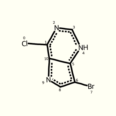 Clc1nc[nH]c2c(Br)cnc1-2